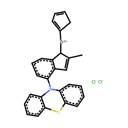 CC1=Cc2c(cccc2N2c3ccccc3Sc3ccccc32)[CH]1[Zr+2][C]1=CC=CC1.[Cl-].[Cl-]